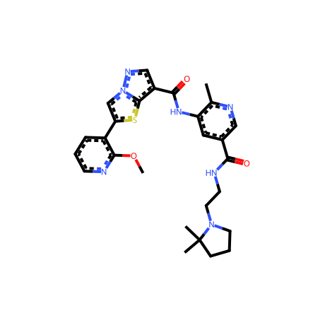 COc1ncccc1-c1cn2ncc(C(=O)Nc3cc(C(=O)NCCN4CCCC4(C)C)cnc3C)c2s1